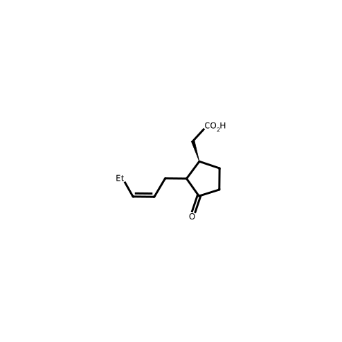 CC/C=C\CC1C(=O)CC[C@@H]1CC(=O)O